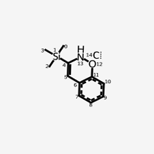 C[Si](C)(C)C1=Cc2ccccc2ON1.[C]